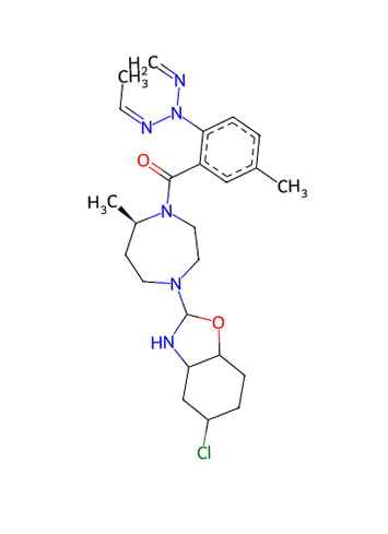 C=NN(/N=C\C)c1ccc(C)cc1C(=O)N1CCN(C2NC3CC(Cl)CCC3O2)CC[C@H]1C